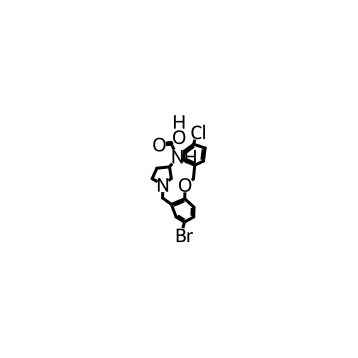 O=C(O)NC1CCN(Cc2cc(Br)ccc2OCc2ccc(Cl)cc2)C1